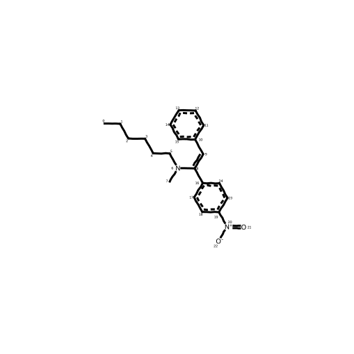 CCCCCCN(C)C(=Cc1ccccc1)c1ccc([N+](=O)[O-])cc1